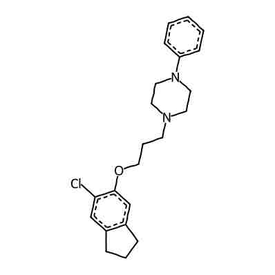 Clc1cc2c(cc1OCCCN1CCN(c3ccccc3)CC1)CCC2